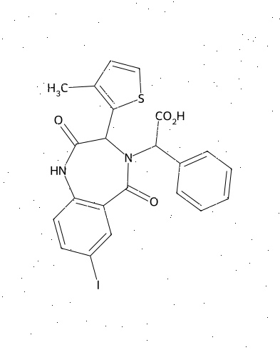 Cc1ccsc1C1C(=O)Nc2ccc(I)cc2C(=O)N1C(C(=O)O)c1ccccc1